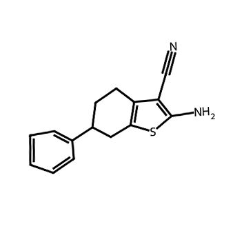 N#Cc1c(N)sc2c1CCC(c1ccccc1)C2